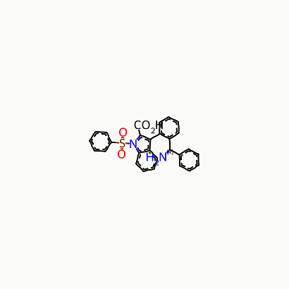 N[C@H](c1ccccc1)c1ccccc1-c1c(C(=O)O)n(S(=O)(=O)c2ccccc2)c2ccccc12